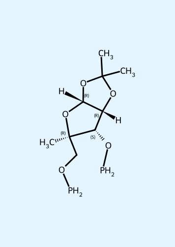 CC1(C)O[C@H]2O[C@](C)(COP)[C@@H](OP)[C@H]2O1